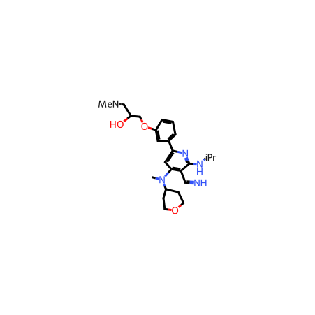 CNCC(O)COc1cccc(-c2cc(N(C)C3CCOCC3)c(C=N)c(NC(C)C)n2)c1